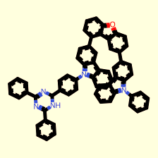 c1ccc(C2=NC(c3ccc(-n4c5ccccc5c5cc(-c6cccc7oc8ccc(-c9ccc%10c(c9)c9ccccc9n%10-c9ccccc9)cc8c67)ccc54)cc3)NC(c3ccccc3)=N2)cc1